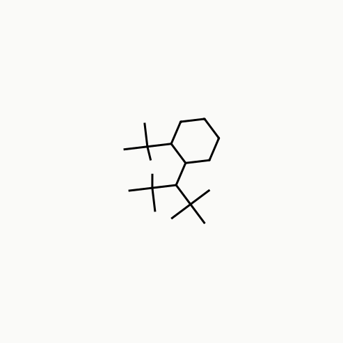 CC(C)(C)C1CCCCC1C(C(C)(C)C)C(C)(C)C